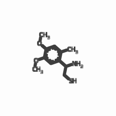 COc1cc(C)c(C(N)CS)cc1OC